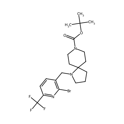 CC(C)(C)OC(=O)N1CCC2(CCCN2Cc2ccc(C(F)(F)F)nc2Br)CC1